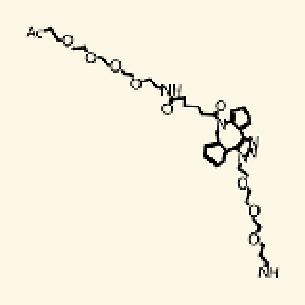 CC(=O)CCOCCOCCOCCOCCNC(=O)CCCCC(=O)N1Cc2ccccc2-c2c(nnn2CCOCCOCCOCCC=N)-c2ccccc21